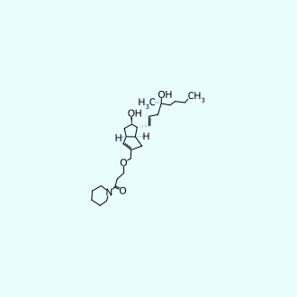 CCCC[C@](C)(O)C/C=C/[C@@H]1[C@H]2CC(COCCC(=O)N3CCCCC3)=C[C@H]2C[C@H]1O